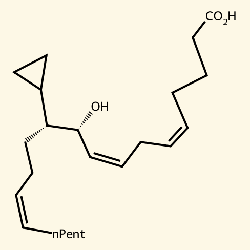 CCCCC/C=C\CC[C@H](C1CC1)[C@H](O)/C=C\C/C=C\CCCC(=O)O